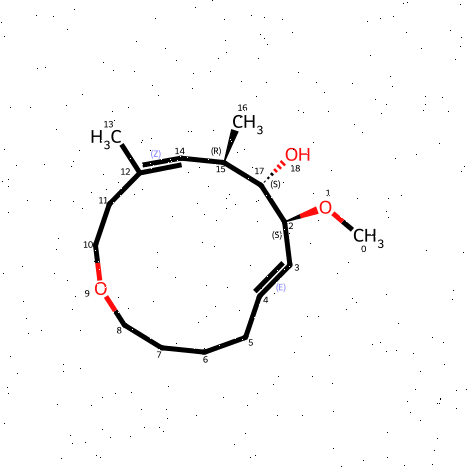 CO[C@H]1/C=C/CCCCOCC/C(C)=C\[C@@H](C)[C@@H]1O